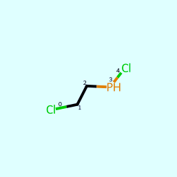 ClCCPCl